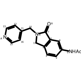 CC(=O)Nc1ccc2c(c1)C(=O)N(Cc1ccncc1)C2